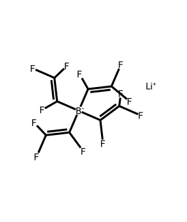 FC(F)=C(F)[B-](C(F)=C(F)F)(C(F)=C(F)F)C(F)=C(F)F.[Li+]